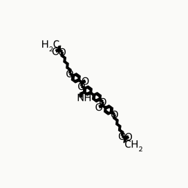 C=CC(=O)OCCCCCCOc1ccc(C(=O)Oc2ccc(-c3ccc(OC(=O)c4ccc(OCCCCCCOC(=O)C=C)cc4)c(C=N)c3)cc2)cc1